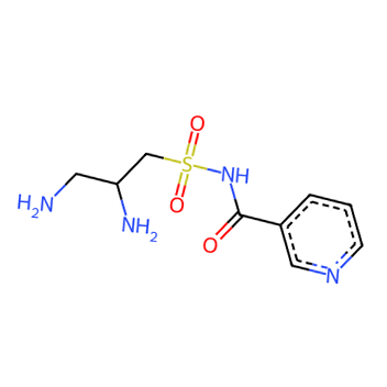 NCC(N)CS(=O)(=O)NC(=O)c1cccnc1